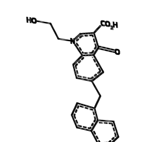 O=C(O)c1cn(CCO)c2ccc(Cc3cccc4ccccc34)cc2c1=O